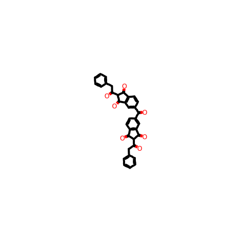 O=C(c1ccc2c(c1)C(=O)C(C(=O)Cc1ccccc1)C2=O)c1ccc2c(c1)C(=O)C(C(=O)Cc1ccccc1)C2=O